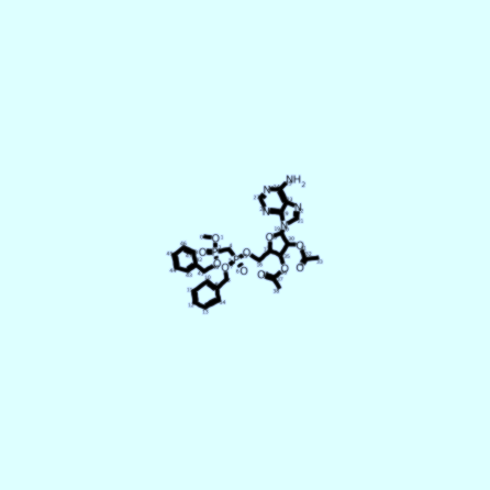 COP(=O)(CP(=O)(OCc1ccccc1)OCC1OC(n2cnc3c(N)ncnc32)C(OC(C)=O)C1OC(C)=O)OCc1ccccc1